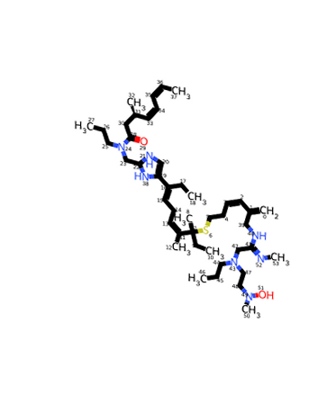 C=C(/C=C\CCSC(C)(CC)C(C)=CC/C=C(\CC)C1=CNC(CN(CCC)C(=O)C[C@@H](C)/C=C\C=C/C)N1)CN/C(CN(CCC)CCN(C)O)=N\C